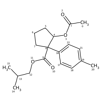 CC(=O)OC1CCCC1(C(=O)OCC(C)C)c1ccc(C)cc1